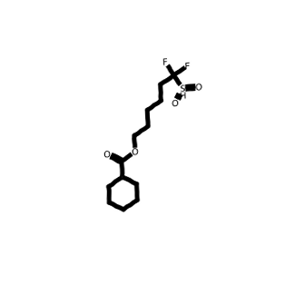 O=C(OCCCCCC(F)(F)[SH](=O)=O)C1CCCCC1